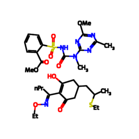 CCCC(=NOCC)C1=C(O)CC(CC(C)SCC)CC1=O.COC(=O)c1ccccc1S(=O)(=O)NC(=O)N(C)c1nc(C)nc(OC)n1